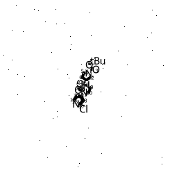 CC(C)(C)OC(=O)N1CCC(N2CCN(c3ccnc(Cl)c3)S2(=O)=O)C1